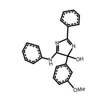 COc1cccc(C2(O)N=C(c3ccccc3)N=C2Nc2ccccc2)c1